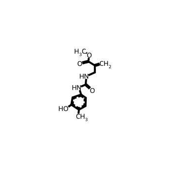 C=C(CNC(=O)Nc1ccc(C)c(O)c1)C(=O)OC